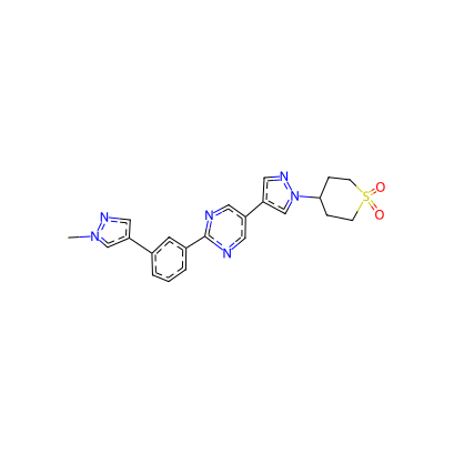 Cn1cc(-c2cccc(-c3ncc(-c4cnn(C5CCS(=O)(=O)CC5)c4)cn3)c2)cn1